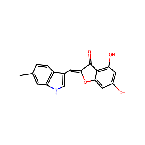 Cc1ccc2c(/C=C3\Oc4cc(O)cc(O)c4C3=O)c[nH]c2c1